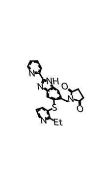 CCc1ncccc1Sc1cc2nc(-c3ccccn3)[nH]c2cc1CN1C(=O)CCC1=O